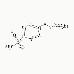 CCOC(=O)CCc1ccc(S(C)(=O)=O)cc1